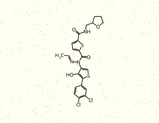 CC=NN(C(=O)c1ccc(C(=O)NCC2CCCO2)s1)c1csc(-c2ccc(Cl)c(Cl)c2)c1O